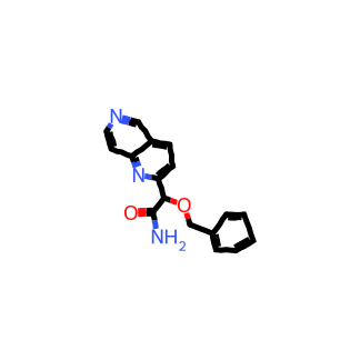 NC(=O)C(OCc1ccccc1)c1ccc2cnccc2n1